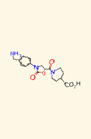 NCc1ccc(N2CC(C(=O)N3CCC(C(=O)O)CC3)OC2=O)cc1